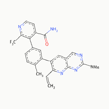 C=Cc1nc2nc(NC)ncc2cc1-c1cc(-c2c(C(N)=O)ccnc2C(F)(F)F)ccc1C